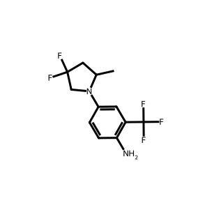 CC1CC(F)(F)CN1c1ccc(N)c(C(F)(F)F)c1